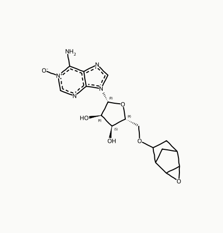 Nc1c2ncn([C@@H]3O[C@H](COC4CC5CC4C4OC54)[C@@H](O)[C@H]3O)c2nc[n+]1[O-]